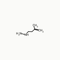 C=C(C)CCNN